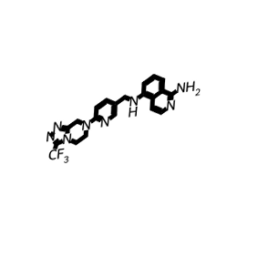 Nc1nccc2c(NCc3ccc(N4CCn5c(nnc5C(F)(F)F)C4)nc3)cccc12